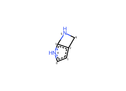 c1cc2c([nH]1)NC2